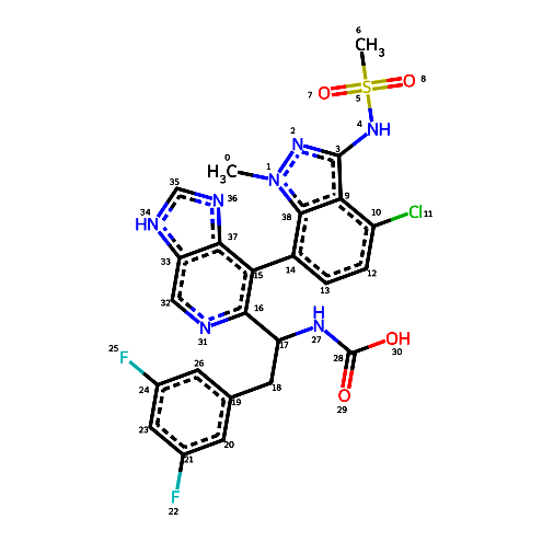 Cn1nc(NS(C)(=O)=O)c2c(Cl)ccc(-c3c(C(Cc4cc(F)cc(F)c4)NC(=O)O)ncc4[nH]cnc34)c21